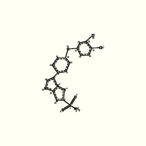 NS(=O)(=O)c1nn2c(-c3ccc(Oc4ccc(Cl)c(Cl)c4)cc3)cnc2s1